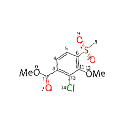 COC(=O)c1ccc(S(C)(=O)=O)c(OC)c1Cl